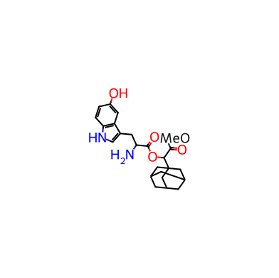 COC(=O)C(OC(=O)C(N)Cc1c[nH]c2ccc(O)cc12)C12CC3CC(CC(C3)C1)C2